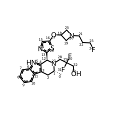 C[C@@H]1Cc2c([nH]c3ccccc23)[C@@H](c2ncc(OC3CN(CCCF)C3)s2)N1CC(F)(F)CO